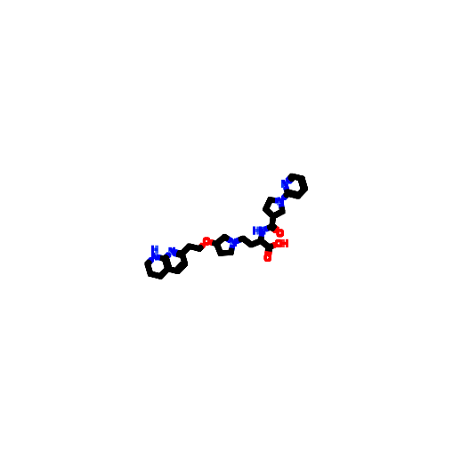 O=C(NC(CCN1CCC(OCCc2ccc3c(n2)NCCC3)C1)C(=O)O)C1CCN(c2ccccn2)C1